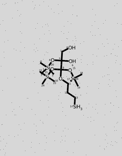 C[Si](C)(C)OC(O)(CO)C(OCCC[SiH3])(O[Si](C)(C)C)O[Si](C)(C)C